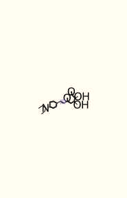 CCN(CC)c1ccc(/C=C/c2cc(O)c(O)c(=O)o2)cc1